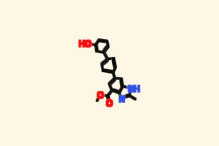 COC(=O)c1cc(-c2ccc(-c3cccc(O)c3)cc2)cc2[nH]c(C)nc12